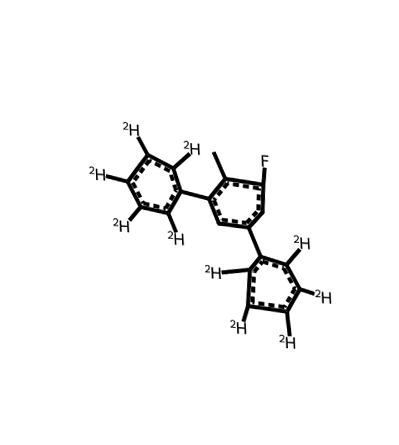 [2H]c1c([2H])c([2H])c(-c2cc(F)c(C)c(-c3c([2H])c([2H])c([2H])c([2H])c3[2H])c2)c([2H])c1[2H]